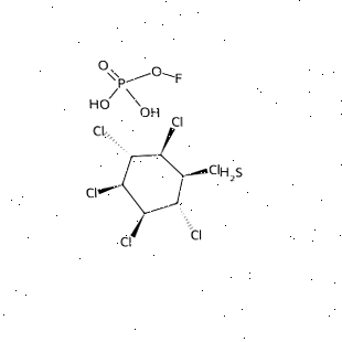 Cl[C@H]1[C@H](Cl)[C@@H](Cl)[C@@H](Cl)[C@H](Cl)[C@H]1Cl.O=P(O)(O)OF.S